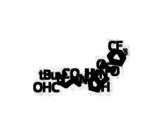 CC(C)(C)N(C(=O)O)[C@H](C=O)CCCN[C@@H]1CC[C@H]2CN(S(=O)(=O)c3cccc(C(F)(F)F)c3)C[C@H]21